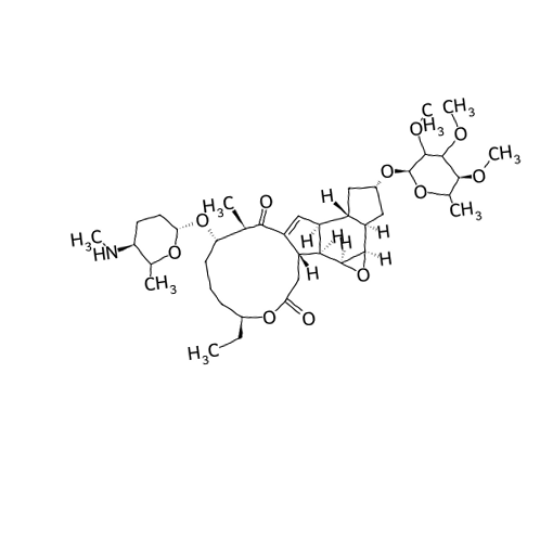 CC[C@H]1CCC[C@H](O[C@H]2CC[C@H](NC)C(C)O2)[C@@H](C)C(=O)C2=C[C@H]3[C@@H]4C[C@H](O[C@@H]5OC(C)[C@H](OC)C(OC)C5OC)C[C@H]4[C@H]4O[C@H]4[C@H]3[C@@H]2CC(=O)O1